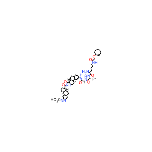 CC(C)[C@H](NC(=O)C(N)CCCCNC(=O)COC1C#CCCCCC1)C(=O)N[C@@H](C)C(=O)Nc1ccc2c(c1)[C@@]1(C)CCC[C@](C)(C(=O)NC(=O)[C@@]3(C)CCC[C@]4(C)c5cc(NC(=O)O)ccc5CC[C@@H]34)[C@@H]1CC2